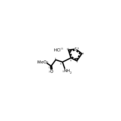 COC(=O)CC(N)c1ccsc1.Cl